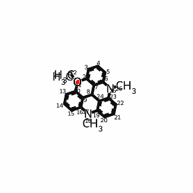 COc1cccc2c1C1c3c(OC)cccc3N(C)c3cccc(c31)N2C